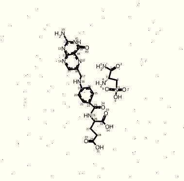 NC(=O)[C@@H](N)CS(=O)(=O)O.Nc1nc2ncc(CNc3ccc(C(=O)NC(CCC(=O)O)C(=O)O)cc3)nc2c(=O)[nH]1